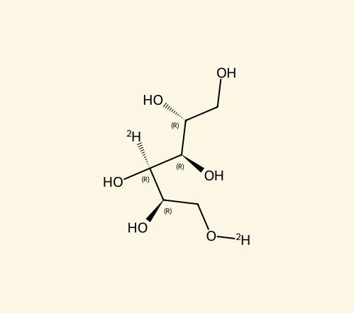 [2H]OC[C@@H](O)[C@@]([2H])(O)[C@H](O)[C@H](O)CO